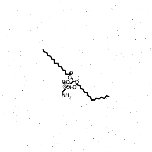 CCCCCC/C=C\CCCCCCCC(=O)O[C@H](COC(=O)CCCCCCCCCCCCCC)COP(=O)(O)OCCN